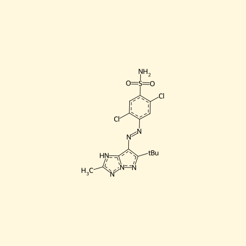 Cc1nn2nc(C(C)(C)C)c(/N=N/c3cc(Cl)c(S(N)(=O)=O)cc3Cl)c2[nH]1